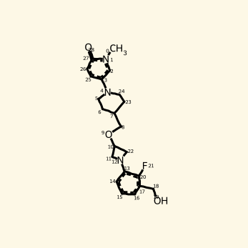 Cn1cc(N2CCC(COC3CN(c4cccc(CO)c4F)C3)CC2)ccc1=O